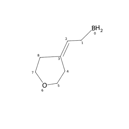 BCC=C1CCOCC1